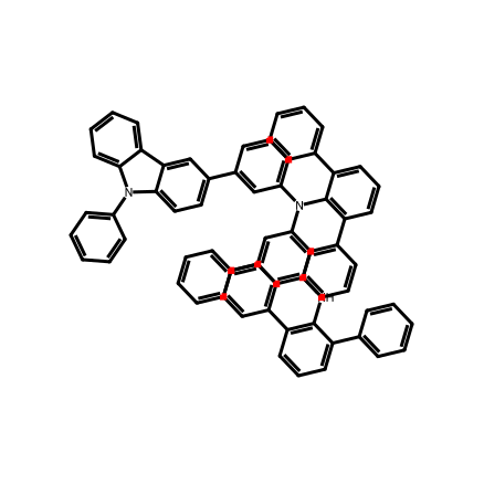 c1ccc(-c2cc(Nc3c(-c4ccccc4)cccc3-c3ccccc3)cc(N(c3cccc(-c4ccc5c(c4)c4ccccc4n5-c4ccccc4)c3)c3c(-c4ccccc4)cccc3-c3ccccc3)c2)cc1